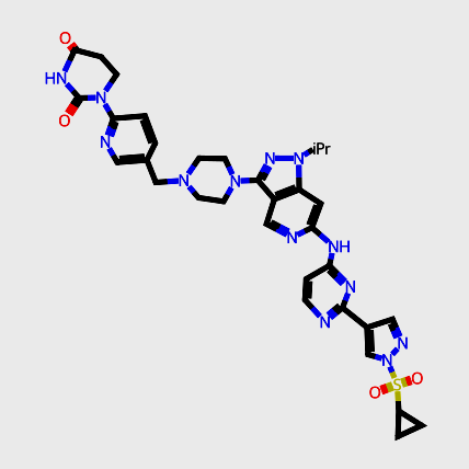 CC(C)n1nc(N2CCN(Cc3ccc(N4CCC(=O)NC4=O)nc3)CC2)c2cnc(Nc3ccnc(-c4cnn(S(=O)(=O)C5CC5)c4)n3)cc21